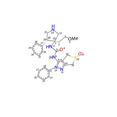 COCC[C@@]1(NC(=O)Nc2c3c(nn2-c2ccccc2)C[S+]([O-])C3)CNC[C@H]1c1ccccc1